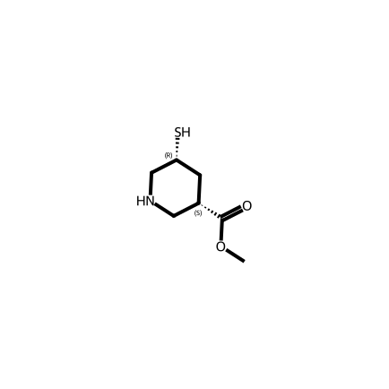 COC(=O)[C@@H]1CNC[C@H](S)C1